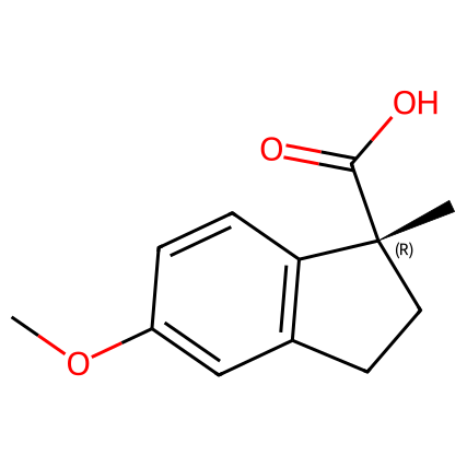 COc1ccc2c(c1)CC[C@@]2(C)C(=O)O